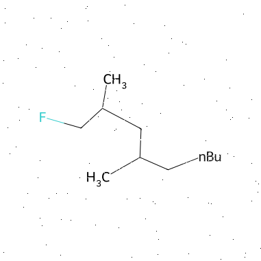 CCCCCC(C)CC(C)CF